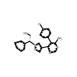 Nc1ncnc(-c2cnn([C@@H](CO)c3ccccc3)c2)c1-c1ccc(Cl)cc1